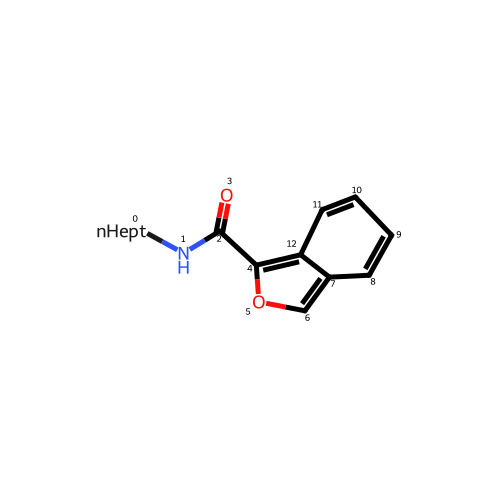 CCCCCCCNC(=O)c1occ2ccccc12